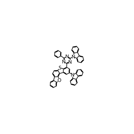 c1ccc(-c2nc(-c3cc(-n4c5ccccc5c5ccccc54)cc4c3sc3ccc5c6ccccc6oc5c34)nc(-n3c4ccccc4c4ccccc43)n2)cc1